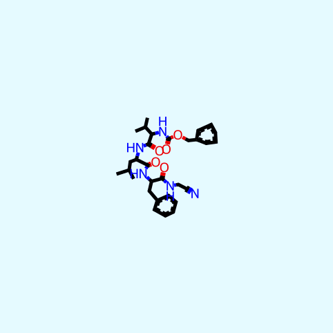 CC(C)CC(NC(=O)C(NC(=O)OCc1ccccc1)C(C)C)C(=O)NC(Cc1ccccc1)C(=O)NCC#N